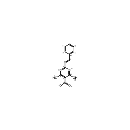 O=[N+]([O-])c1c(O)nc(C=Cc2ccccc2)nc1O